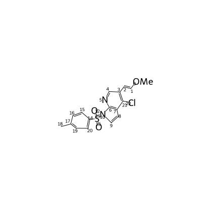 COC=Cc1cnc2c(ccn2S(=O)(=O)c2ccc(C)cc2)c1Cl